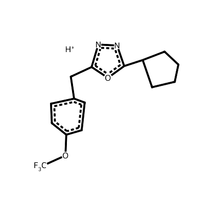 FC(F)(F)Oc1ccc(Cc2nnc(C3CCCC3)o2)cc1.[H+]